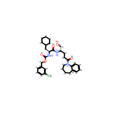 O=C(N[C@@H](CC1CCCCC1)C(=O)N[C@H](CO)CCC(=O)N1CCCCc2ccccc21)OCc1cccc(Cl)c1